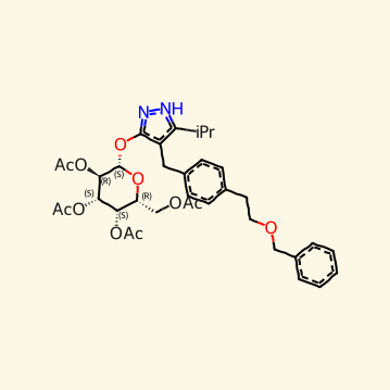 CC(=O)OC[C@H]1O[C@@H](Oc2n[nH]c(C(C)C)c2Cc2ccc(CCOCc3ccccc3)cc2)[C@H](OC(C)=O)[C@@H](OC(C)=O)[C@H]1OC(C)=O